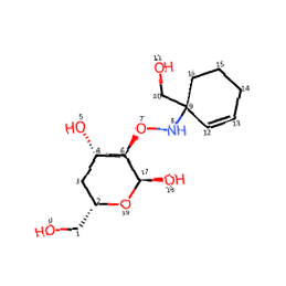 OC[C@@H]1C[C@H](O)[C@@H](ONC2(CO)C=CCCC2)[C@@H](O)O1